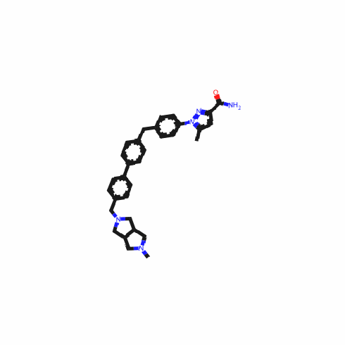 Cc1cc(C(N)=O)nn1-c1ccc(Cc2ccc(-c3ccc(CN4CC5CN(C)CC5C4)cc3)cc2)cc1